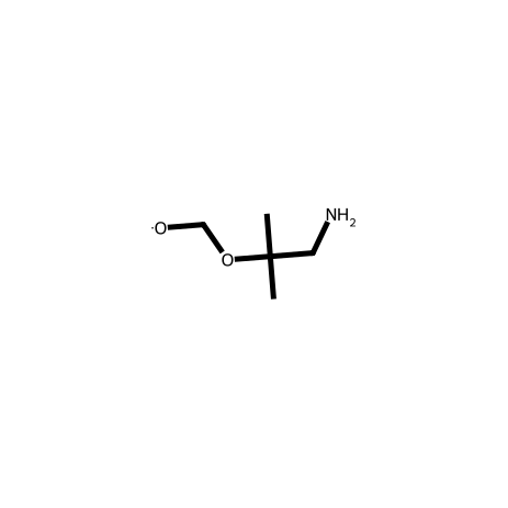 CC(C)(CN)OC[O]